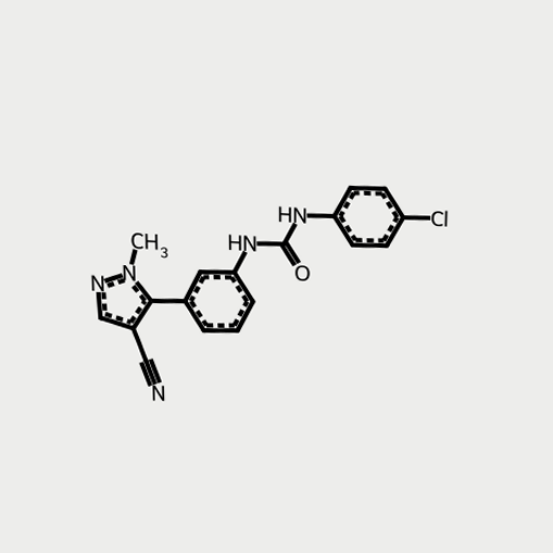 Cn1ncc(C#N)c1-c1cccc(NC(=O)Nc2ccc(Cl)cc2)c1